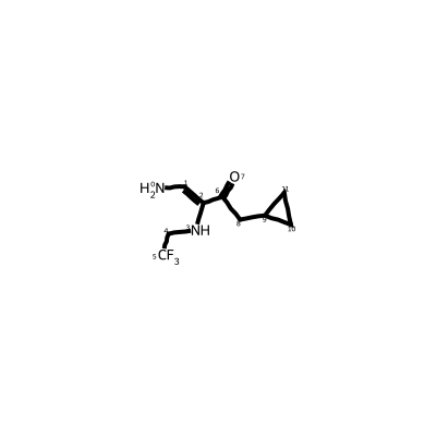 N/C=C(\NCC(F)(F)F)C(=O)CC1CC1